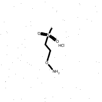 CS(=O)(=O)CCON.Cl